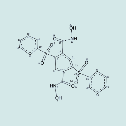 O=C(NO)c1cc(S(=O)(=O)c2ccccc2)c(C(=O)NO)cc1S(=O)(=O)c1ccccc1